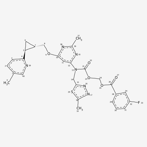 Cc1ccc([C@H]2C[C@@H]2COc2cc(N(Cc3nnc(C)s3)C(=O)OCOC(=O)c3cccc(F)c3)nc(C)n2)nc1